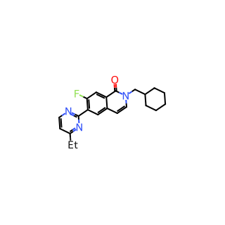 CCc1ccnc(-c2cc3ccn(CC4CCCCC4)c(=O)c3cc2F)n1